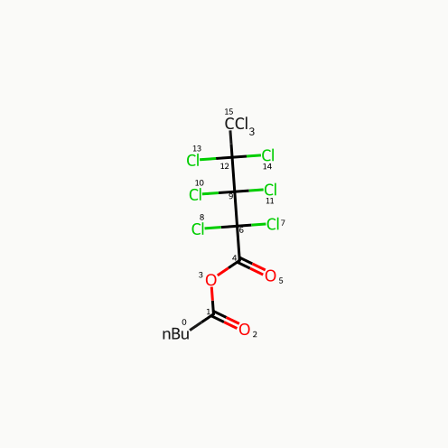 CCCCC(=O)OC(=O)C(Cl)(Cl)C(Cl)(Cl)C(Cl)(Cl)C(Cl)(Cl)Cl